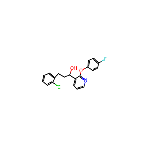 OC(CCc1ccccc1Cl)c1cccnc1Oc1ccc(F)cc1